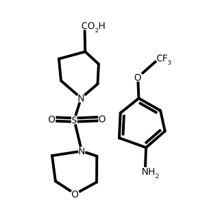 Nc1ccc(OC(F)(F)F)cc1.O=C(O)C1CCN(S(=O)(=O)N2CCOCC2)CC1